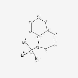 BrC(Br)(Br)[C]1CCCC2CCCCC12